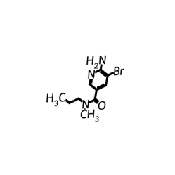 CCCN(C)C(=O)c1cnc(N)c(Br)c1